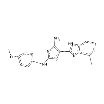 COc1ccc(Nc2nc(N)c(-c3nc4c(C)cccc4[nH]3)s2)cc1